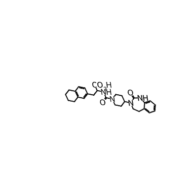 O=C(O)C(Cc1ccc2c(c1)CCCC2)NC(=O)N1CCC(N2CCc3ccccc3NC2=O)CC1